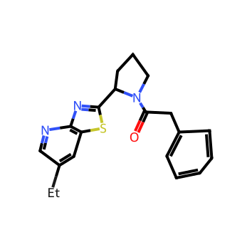 CCc1cnc2nc(C3CCCN3C(=O)Cc3ccccc3)sc2c1